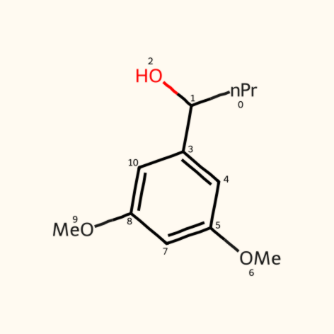 CCCC(O)c1cc(OC)cc(OC)c1